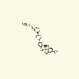 C[C@@H](Nc1cc(C2CCN([C@H]3CCCN(CCC(=O)O)C3)CC2)ccc1Cl)c1ccc(Cl)cc1Cl